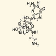 B[PH]1(O)OC[C@H]2O[C@@H](n3cnc4c(=O)[nH]c(N)nc43)[C@@H](OC(=O)NCCN)[C@H]2O1